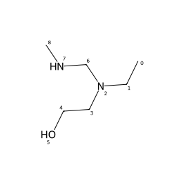 CCN(CCO)CNC